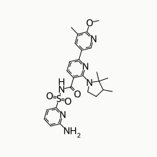 COc1ncc(-c2ccc(C(=O)NS(=O)(=O)c3cccc(N)n3)c(N3CCC(C)C3(C)C)n2)cc1C